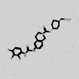 O=C(O)C[C@H]1CC[C@H](OC(=O)N2CCc3cc(NC(=O)Nc4ccc(F)c(F)c4F)ccc3C2)CC1